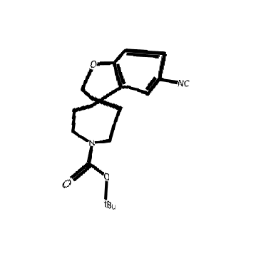 [C-]#[N+]c1ccc2c(c1)C1(CCN(C(=O)OC(C)(C)C)CC1)CO2